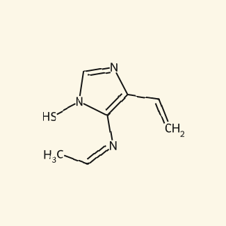 C=Cc1ncn(S)c1/N=C\C